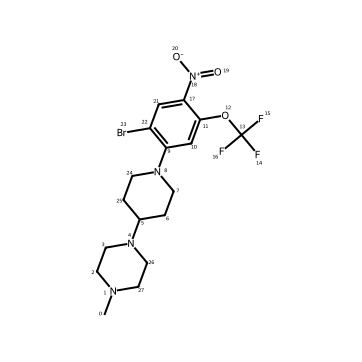 CN1CCN(C2CCN(c3cc(OC(F)(F)F)c([N+](=O)[O-])cc3Br)CC2)CC1